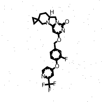 O=c1nc(OCc2ccc(Oc3ccnc(C(F)(F)F)c3)c(F)c2)cc2n1C[C@@H]1CCC3(CC3)CN21